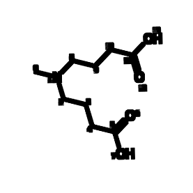 CN(CCCC(=O)O)CCCC(=O)O